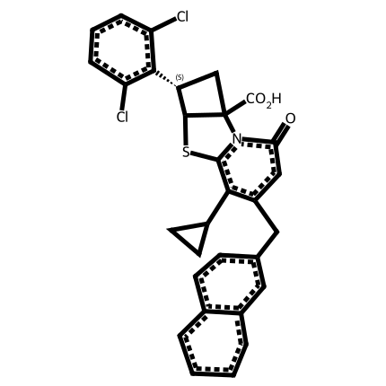 O=C(O)C12C[C@@H](c3c(Cl)cccc3Cl)C1Sc1c(C3CC3)c(Cc3ccc4ccccc4c3)cc(=O)n12